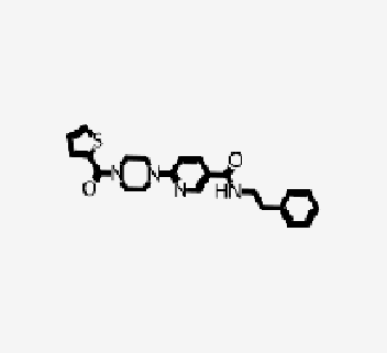 O=C(NCCc1ccccc1)c1ccc(N2CCN(C(=O)c3cccs3)CC2)nc1